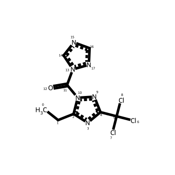 CCc1nc(C(Cl)(Cl)Cl)nn1C(=O)n1cncn1